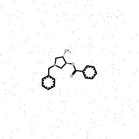 C[C@H]1CN(Cc2ccccc2)C[C@@H]1OC(=O)c1ccccc1